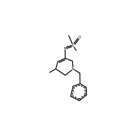 CC1C=C(N=S(C)(C)=O)CN(Cc2ccccc2)C1